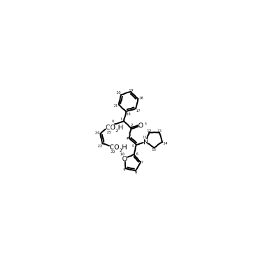 CC(C(=O)C=C(c1ccco1)N1CCCC1)c1ccccc1.O=C(O)/C=C\C(=O)O